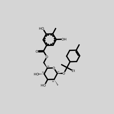 CCC(C)(O[C@@H]1O[C@H](COC(=O)c2cc(O)c(C)c(O)c2)[C@@H](O)C(O)[C@H]1C)C1CC=C(C)CC1